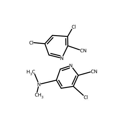 CN(C)c1cnc(C#N)c(Cl)c1.N#Cc1ncc(Cl)cc1Cl